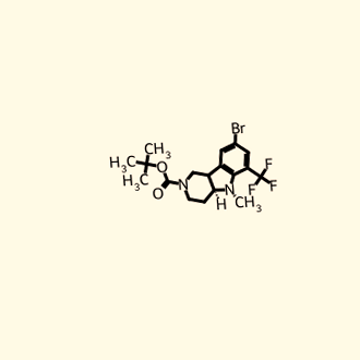 CN1c2c(cc(Br)cc2C(F)(F)F)C2CN(C(=O)OC(C)(C)C)CC[C@@H]21